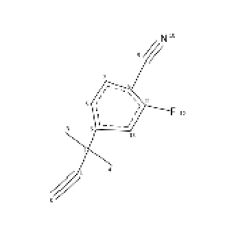 C#CC(C)(C)c1ccc(C#N)c(F)c1